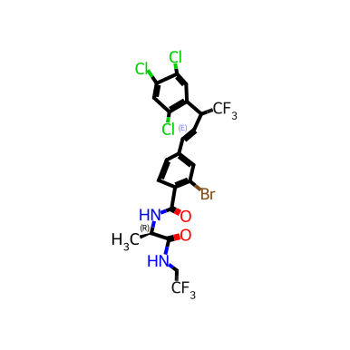 C[C@@H](NC(=O)c1ccc(/C=C/C(c2cc(Cl)c(Cl)cc2Cl)C(F)(F)F)cc1Br)C(=O)NCC(F)(F)F